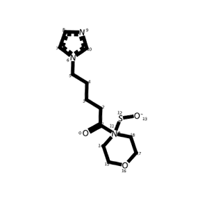 O=C(CCCCn1c[c]nc1)[N+]1(S[O-])CCOCC1